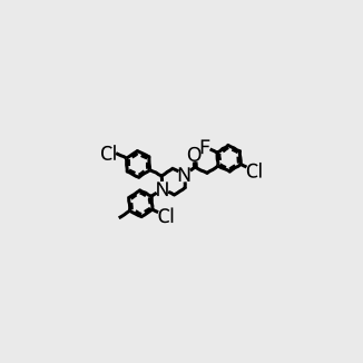 Cc1ccc(N2CCN(C(=O)Cc3cc(Cl)ccc3F)CC2c2ccc(Cl)cc2)c(Cl)c1